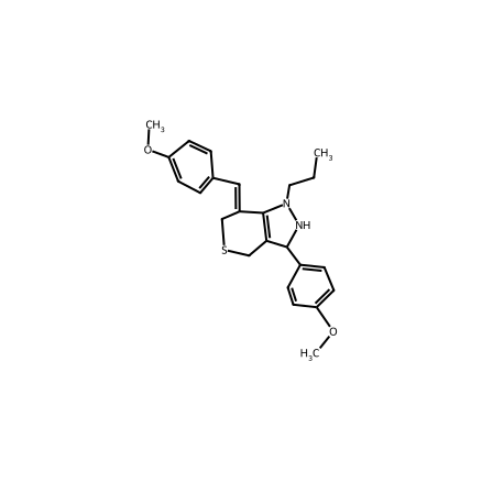 CCCN1NC(c2ccc(OC)cc2)C2=C1C(=Cc1ccc(OC)cc1)CSC2